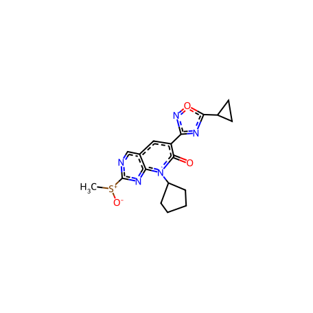 C[S+]([O-])c1ncc2cc(-c3noc(C4CC4)n3)c(=O)n(C3CCCC3)c2n1